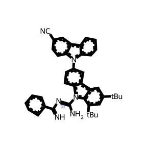 CC(C)(C)c1cc(C(C)(C)C)c2c(c1)c1cc(-n3c4ccccc4c4cc(C#N)ccc43)ccc1n2/C(N)=N/C(=N)c1ccccc1